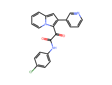 O=C(Nc1ccc(Cl)cc1)C(=O)c1c(-c2cccnc2)cc2ccccn12